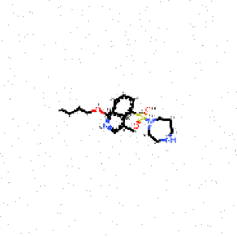 CCCCOc1ncc(C)c2c(S(=O)(=O)N3CCCNCC3)cccc12